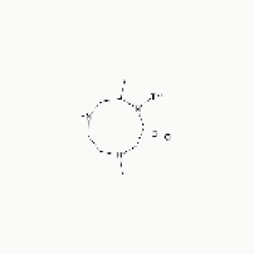 CC1CNCCN(C)CC[N]1[Ti+2].[Cl-].[Cl-]